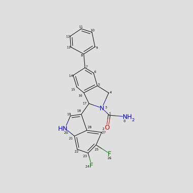 NC(=O)N1Cc2cc(-c3ccccc3)ccc2C1c1c[nH]c2cc(F)c(F)cc12